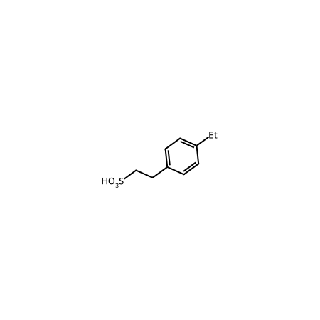 CCc1ccc(CCS(=O)(=O)O)cc1